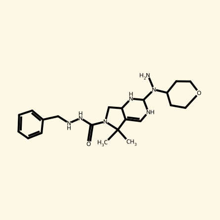 CC1(C)C2=CNC(N(N)C3CCOCC3)NC2CN1C(=O)NNCc1ccccc1